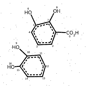 O=C(O)c1cccc(O)c1O.Oc1ccccc1O